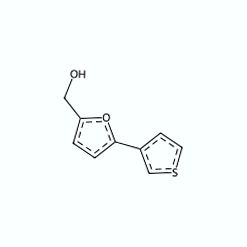 OCc1ccc(-c2ccsc2)o1